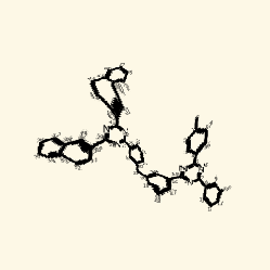 Cc1ccc(-c2nc(-c3ccccc3)nc(-c3cccc(Cc4cccc(-c5nc(-c6ccc7ccccc7c6)nc(-c6ccc7ccccc7c6)n5)c4)c3)n2)cc1